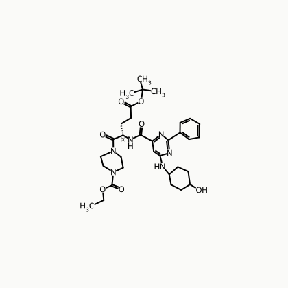 CCOC(=O)N1CCN(C(=O)[C@H](CCC(=O)OC(C)(C)C)NC(=O)c2cc(NC3CCC(O)CC3)nc(-c3ccccc3)n2)CC1